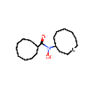 O=C(C1CCCCCCCC1)N(O)C1CCCCCCCCC1